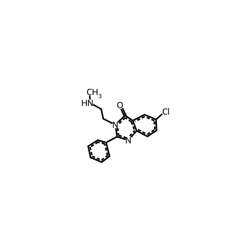 CNCCn1c(-c2ccccc2)nc2ccc(Cl)cc2c1=O